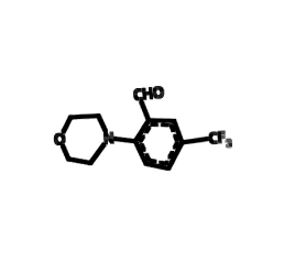 O=Cc1cc(C(F)(F)F)ccc1N1CCOCC1